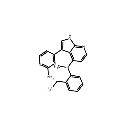 CCc1ccccc1N(C)c1ccnc2[nH]cc(-c3ccnc(N)n3)c12